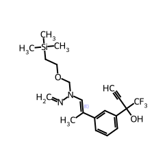 C#CC(O)(c1cccc(/C(C)=C/N(COCC[Si](C)(C)C)N=C)c1)C(F)(F)F